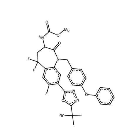 CC(C)(C)OC(=O)NC1CC(F)(F)c2cc(F)c(-c3nnc(C(C)(C)C#N)o3)cc2N(Cc2ccc(Oc3ccccc3)cc2)C1=O